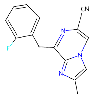 Cc1cn2cc(C#N)nc(Cc3ccccc3F)c2n1